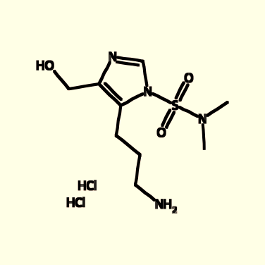 CN(C)S(=O)(=O)n1cnc(CO)c1CCCN.Cl.Cl